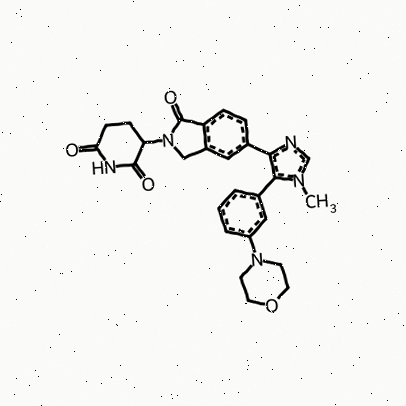 Cn1cnc(-c2ccc3c(c2)CN(C2CCC(=O)NC2=O)C3=O)c1-c1cccc(N2CCOCC2)c1